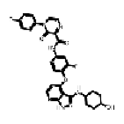 O=C(Nc1ccc(Oc2ccnc3[nH]nc(NC4CCC(O)CC4)c23)c(F)c1)c1nccn(-c2ccc(F)cc2)c1=O